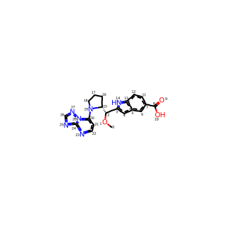 COC(c1cc2cc(C(=O)O)ccc2[nH]1)[C@H]1CCCN1c1ccnc2ncnn12